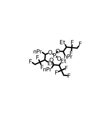 CCCC(OP(=O)(OC(CCC)C(CC)C(F)(F)CF)OC(CCC)C(CC)C(F)(F)CF)C(CC)C(F)(F)CF